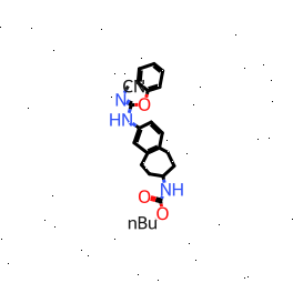 CCCCOC(=O)NC1CCc2ccc(N/C(=N/C#N)Oc3ccccc3)cc2CC1